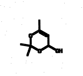 CC1=CC(O)OC(C)(C)O1